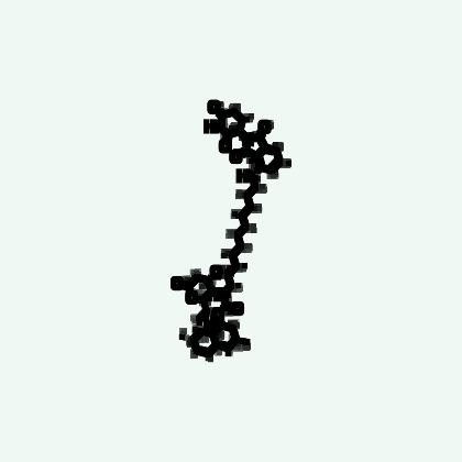 C[C@H]1C=C2C=C[C@H](C)[C@H](CC[C@@H]3C[C@@H](O)CC(=O)O3)[C@H]2[C@@H](OC(=O)NCCCCCCCCCCCNc2cccc3c2C(=O)N(C2CCC(=O)NC2=O)C3=O)C1